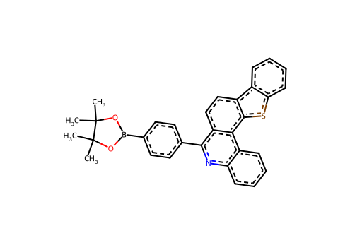 CC1(C)OB(c2ccc(-c3nc4ccccc4c4c3ccc3c5ccccc5sc34)cc2)OC1(C)C